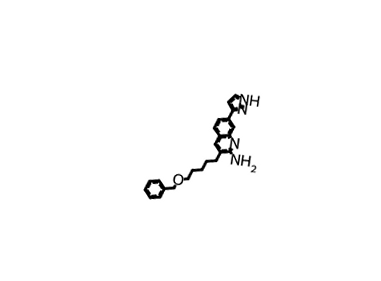 Nc1nc2cc(-c3cc[nH]n3)ccc2cc1CCCCCOCc1ccccc1